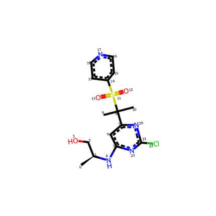 C[C@@H](CO)Nc1cc(C(C)(C)S(=O)(=O)c2ccncc2)nc(Cl)n1